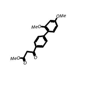 COC(=O)CC(=O)c1ccc(-c2ccc(OC)cc2OC)cc1